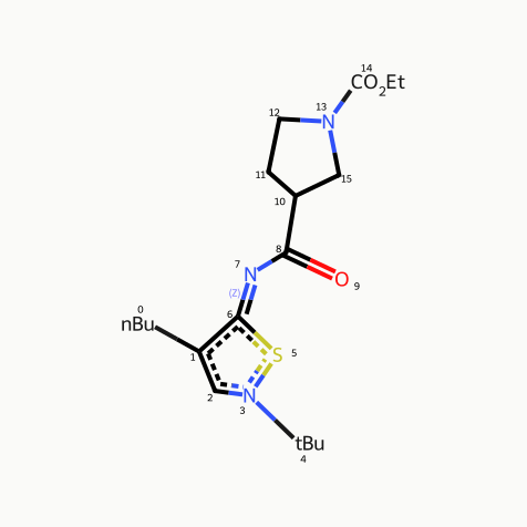 CCCCc1cn(C(C)(C)C)s/c1=N\C(=O)C1CCN(C(=O)OCC)C1